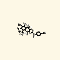 [2H]c1c(Br)c([2H])c(C([2H])([2H])[2H])c(Nc2ccnc(Nc3ccc(C#N)cc3)n2)c1C([2H])([2H])[2H]